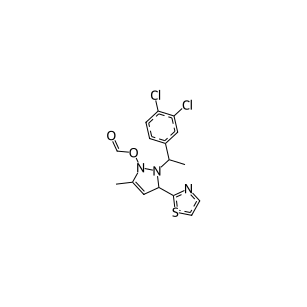 CC1=CC(c2nccs2)N(C(C)c2ccc(Cl)c(Cl)c2)N1OC=O